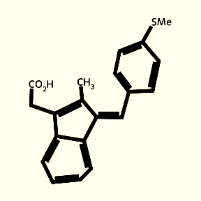 CSc1ccc(C=C2C(C)=C(CC(=O)O)c3ccccc32)cc1